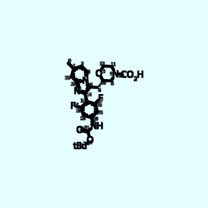 Cc1ccn2c(C[C@H]3CN(C(=O)O)CCO3)c(-c3c(F)cc(NC(=O)OC(C)(C)C)cc3F)nc2c1